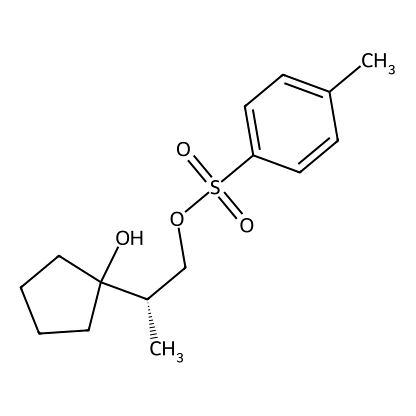 Cc1ccc(S(=O)(=O)OC[C@H](C)C2(O)CCCC2)cc1